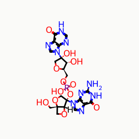 Nc1nc2c(ncn2[C@]2(OP(=O)(O)OC[C@H]3OC[C@@](O)(n4cnc5c(=O)[nH]cnc54)[C@@H]3O)CO[C@@]3(CO)CO[C@H]32)c(=O)[nH]1